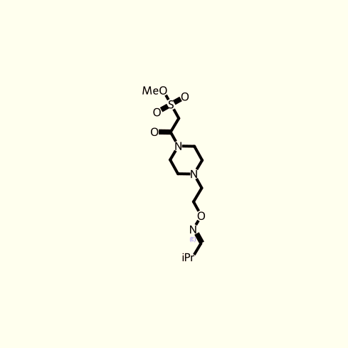 COS(=O)(=O)CC(=O)N1CCN(CCO/N=C/C(C)C)CC1